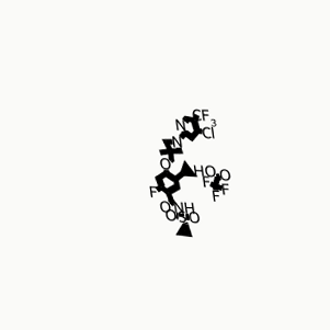 CC1(COc2cc(F)c(C(=O)NS(=O)(=O)C3CC3)cc2C2CC2)CN(c2cc(Cl)c(C(F)(F)F)cn2)C1.O=C(O)C(F)(F)F